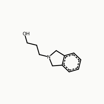 OCCCN1Cc2ccccc2C1